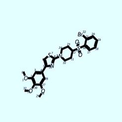 COc1cc(-c2csc(N3CCC(S(=O)(=O)c4ccccc4Br)CC3)n2)cc(OC)c1OC